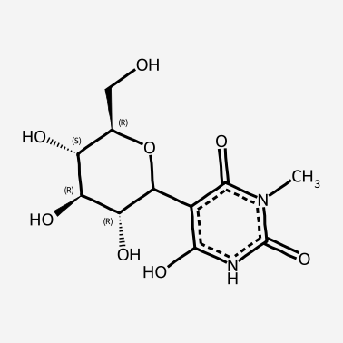 Cn1c(=O)[nH]c(O)c(C2O[C@H](CO)[C@@H](O)[C@H](O)[C@H]2O)c1=O